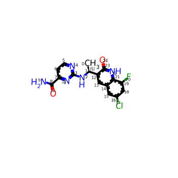 C[C@H](Nc1nccc(C(N)=O)n1)c1cc2cc(Cl)cc(F)c2[nH]c1=O